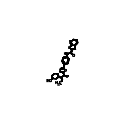 CCN(C(=O)c1ccc(-c2ccc(NC(=O)c3cc4cccnc4s3)cc2)o1)N1CCCC(O)C1